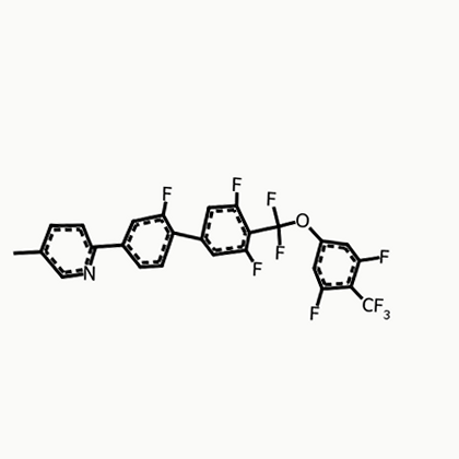 Cc1ccc(-c2ccc(-c3cc(F)c(C(F)(F)Oc4cc(F)c(C(F)(F)F)c(F)c4)c(F)c3)c(F)c2)nc1